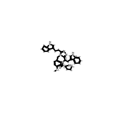 COc1ccc(Cn2c(CCc3c[nH]c4ccccc34)nnc2C(Cc2c[nH]c3ccccc23)NC(=O)[C@@H]2CCCN2)cc1